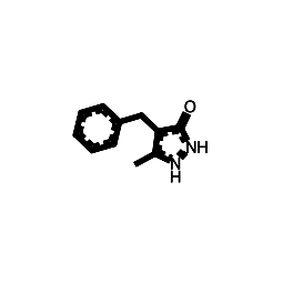 Cc1[nH][nH]c(=O)c1Cc1ccccc1